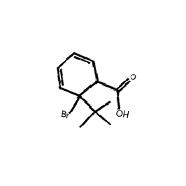 CC(C)(C)C1(Br)C=CC=CC1C(=O)O